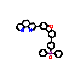 O=P(c1ccccc1)(c1ccccc1)c1ccc(-c2ccc3oc4ccc(-c5cnc6c(ccc7cccnc76)c5)cc4c3c2)cc1